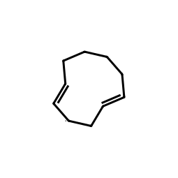 [CH]1/C=C/CCCC/C=C/C1